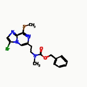 CSc1nc(CCN(C)C(=O)OCc2ccccc2)cn2c(Br)cnc12